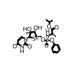 CC(C)OC(=O)[C@@H](C)N[P@](=O)(OC[C@H]1S[C@@H](n2ccc(=O)[nH]c2=O)[C@](C)(O)[C@@H]1O)Oc1ccccc1